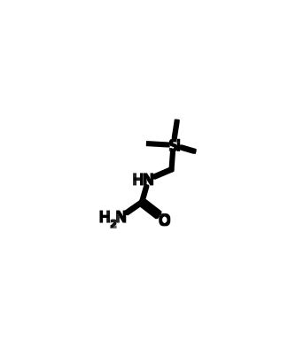 C[Si](C)(C)CNC(N)=O